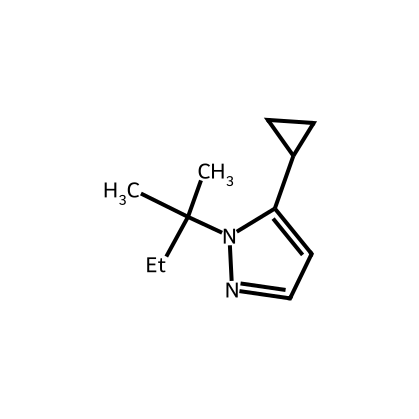 CCC(C)(C)n1nccc1C1CC1